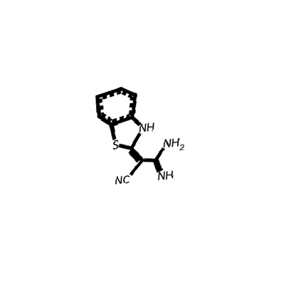 N#CC(C(=N)N)=C1Nc2ccccc2S1